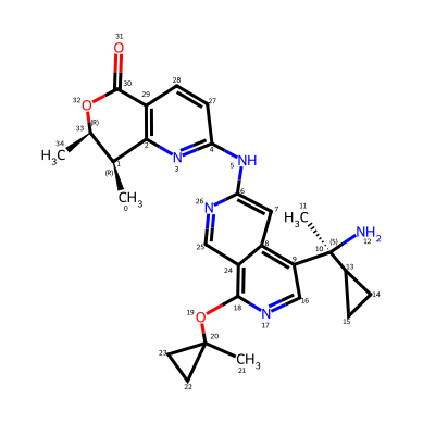 C[C@@H]1c2nc(Nc3cc4c([C@@](C)(N)C5CC5)cnc(OC5(C)CC5)c4cn3)ccc2C(=O)O[C@@H]1C